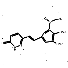 COc1cc(C=Cc2ccc(=O)[nH]n2)cc([S+](C)[O-])c1OC